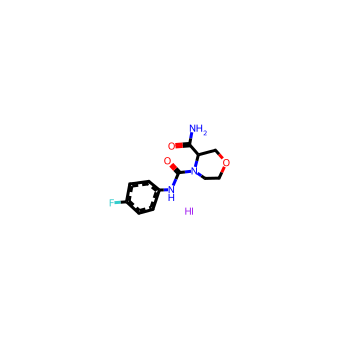 I.NC(=O)C1COCCN1C(=O)Nc1ccc(F)cc1